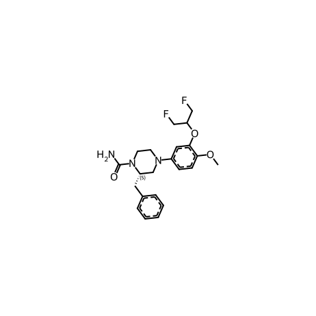 COc1ccc(N2CCN(C(N)=O)[C@@H](Cc3ccccc3)C2)cc1OC(CF)CF